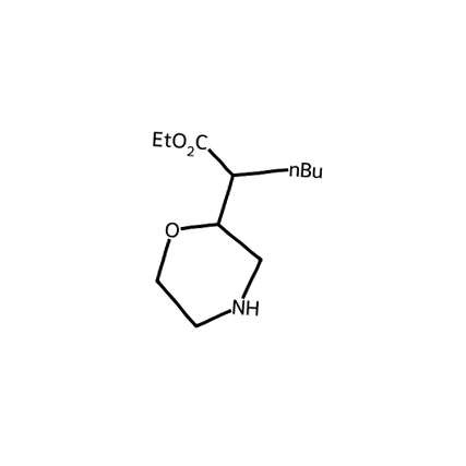 CCCCC(C(=O)OCC)C1CNCCO1